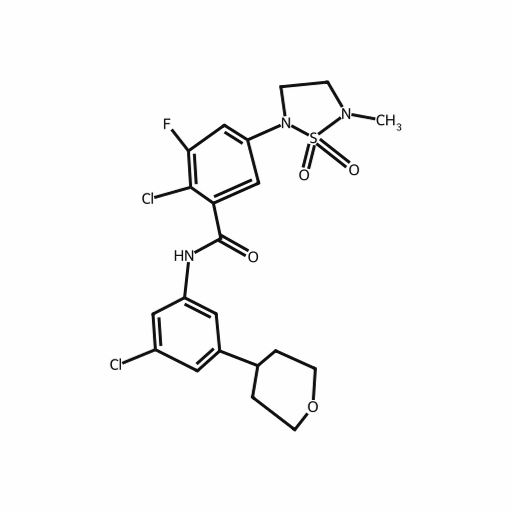 CN1CCN(c2cc(F)c(Cl)c(C(=O)Nc3cc(Cl)cc(C4CCOCC4)c3)c2)S1(=O)=O